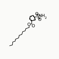 CCCCCCCCCCCCOC(=O)c1cccc(S(N)(=O)=O)c1